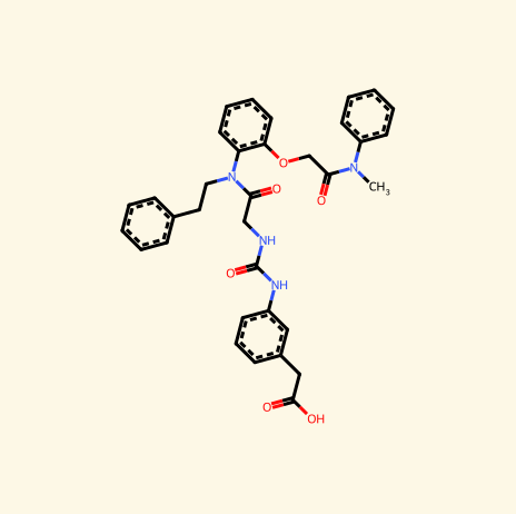 CN(C(=O)COc1ccccc1N(CCc1ccccc1)C(=O)CNC(=O)Nc1cccc(CC(=O)O)c1)c1ccccc1